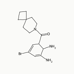 NC1=CC(Br)=CC(C(=O)N2CCC3(CCC3)CC2)C1N